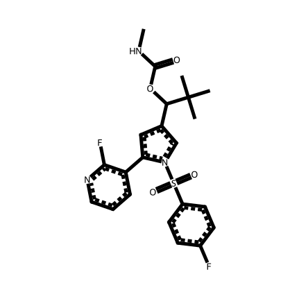 CNC(=O)OC(c1cc(-c2cccnc2F)n(S(=O)(=O)c2ccc(F)cc2)c1)C(C)(C)C